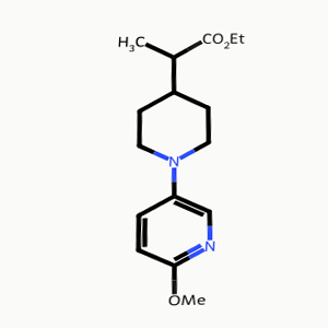 CCOC(=O)C(C)C1CCN(c2ccc(OC)nc2)CC1